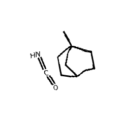 CC12CCC(CC1)C2.N=C=O